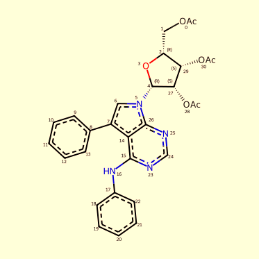 CC(=O)OC[C@H]1O[C@@H](n2cc(-c3ccccc3)c3c(Nc4ccccc4)ncnc32)[C@@H](OC(C)=O)[C@H]1OC(C)=O